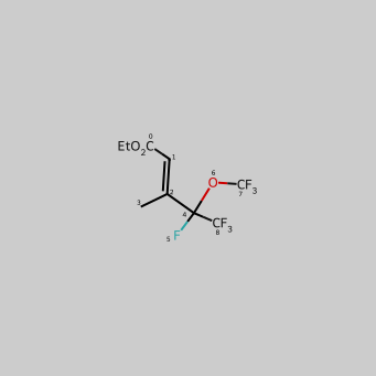 CCOC(=O)/C=C(\C)C(F)(OC(F)(F)F)C(F)(F)F